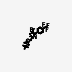 CC(C)(C)[Si](C)(C)OCc1nc(-c2ccc(C(F)(F)F)cc2)c(Br)s1